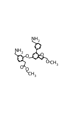 CCOC(=O)Cc1ccc(CN)cc1OCc1cc(-c2cccc(CN)c2)c2oc(COC)cc2c1